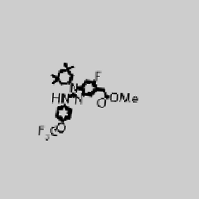 COC(=O)Cc1cc2nc(Nc3ccc(OC(F)(F)F)cc3)n(C3CC(C)(C)CC(C)(C)C3)c2cc1F